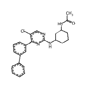 CC(=O)NC1CCCC(Nc2ncc(Cl)c(-c3cccc(-c4ccccc4)c3)n2)C1